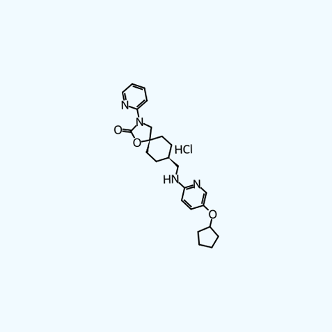 Cl.O=C1O[C@]2(CC[C@H](CNc3ccc(OC4CCCC4)cn3)CC2)CN1c1ccccn1